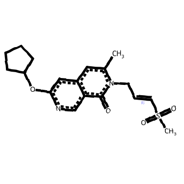 Cc1cc2cc(OC3CCCC3)ncc2c(=O)n1C/C=C/S(C)(=O)=O